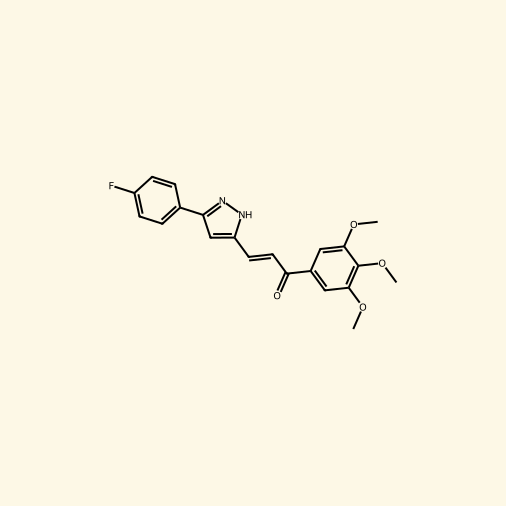 COc1cc(C(=O)C=Cc2cc(-c3ccc(F)cc3)n[nH]2)cc(OC)c1OC